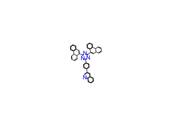 C1=CC2C=C(c3nc(C4=Cc5ccccc5C5C=CC=CC45)nc(-c4ccc(-c5cnc6ccccc6c5)cc4)n3)c3ccccc3C2C=C1